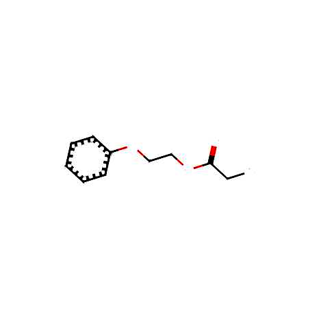 CC(=O)CC(=O)OCCOc1ccccc1